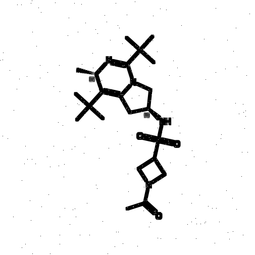 CC(=O)N1CC(S(=O)(=O)N[C@H]2CC3=C(C(C)(C)C)[C@H](C)N=C(C(C)(C)C)N3C2)C1